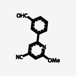 COc1cc(C#N)cc(-c2cccc(C=O)c2)n1